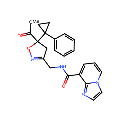 COC(=O)C1(C2(c3ccccc3)CC2)CC(CNC(=O)c2cccn3ccnc23)=NO1